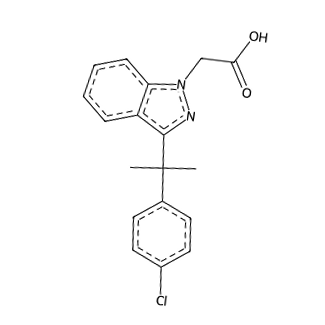 CC(C)(c1ccc(Cl)cc1)c1nn(CC(=O)O)c2ccccc12